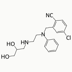 N#Cc1ccc(Cl)cc1CN(CCNCC(O)CO)c1ccccc1